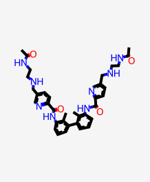 CC(=O)NCCNCc1ccc(C(=O)Nc2cccc(-c3cccc(NC(=O)c4ccc(CNCCNC(C)=O)cn4)c3C)c2C)nc1